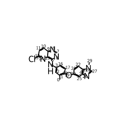 Cc1cc(Nc2ncnc3ccc(Cl)nc23)ccc1Oc1ccc2c(c1)ncn2C